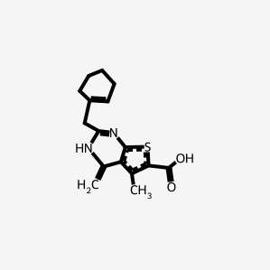 C=C1NC(CC2=CCCCC2)=Nc2sc(C(=O)O)c(C)c21